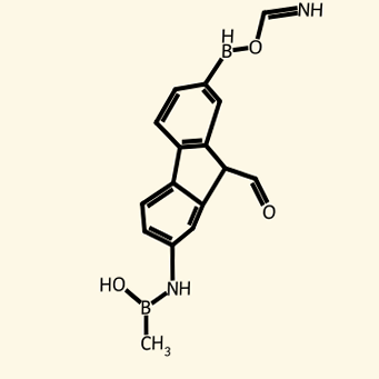 CB(O)Nc1ccc2c(c1)C(C=O)c1cc(BOC=N)ccc1-2